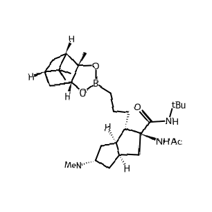 CN[C@H]1C[C@@H]2C[C@@](NC(C)=O)(C(=O)NC(C)(C)C)[C@@H](CCCB3O[C@@H]4C[C@@H]5C[C@@H](C5(C)C)[C@]4(C)O3)[C@@H]2C1